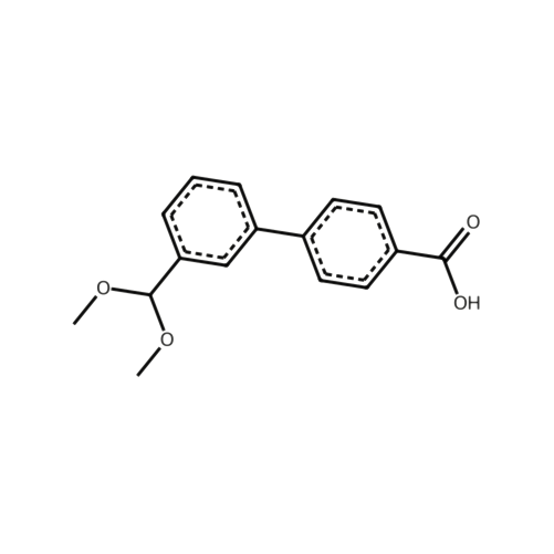 COC(OC)c1cccc(-c2ccc(C(=O)O)cc2)c1